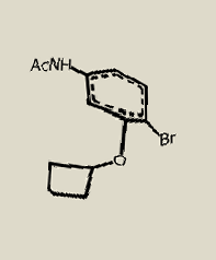 CC(=O)Nc1ccc(Br)c(OC2CCC2)c1